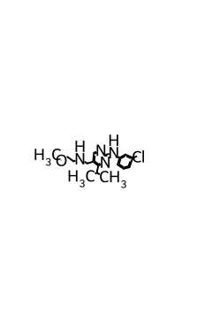 COCCNCc1cnc(Nc2cccc(Cl)c2)nc1C(C)C